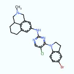 CN1Cc2cc(Nc3ncc(Cl)c(N4CCc5cc(Br)ccc54)n3)cc3c2C(CCC3)C1